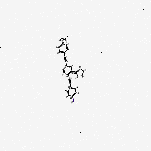 Cc1ccc(C#Cc2ccc(C#Cc3ccc(I)cc3)c(C3=CCCC3)c2)cc1